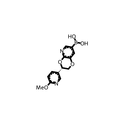 COc1ccc([C@H]2COc3cc(B(O)O)cnc3O2)cn1